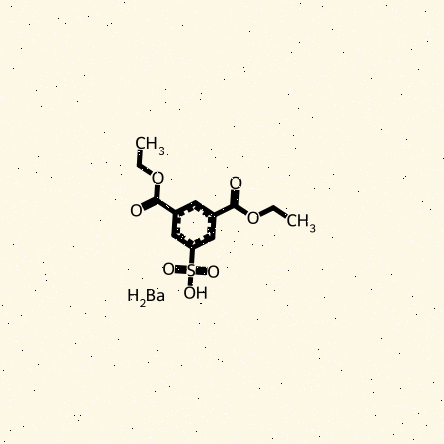 CCOC(=O)c1cc(C(=O)OCC)cc(S(=O)(=O)O)c1.[BaH2]